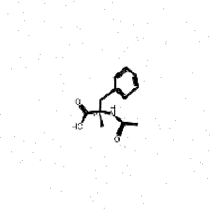 CC(=O)N[C@@](C)(Cc1ccccc1)C(=O)O